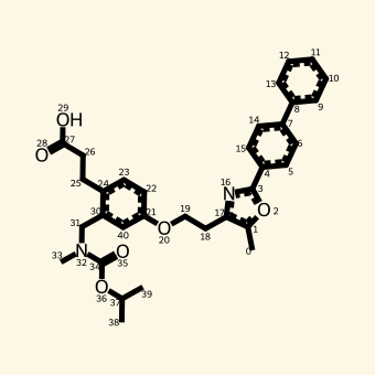 Cc1oc(-c2ccc(-c3ccccc3)cc2)nc1CCOc1ccc(CCC(=O)O)c(CN(C)C(=O)OC(C)C)c1